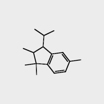 Cc1ccc2c(c1)C(C(C)C)C(C)C2(C)C